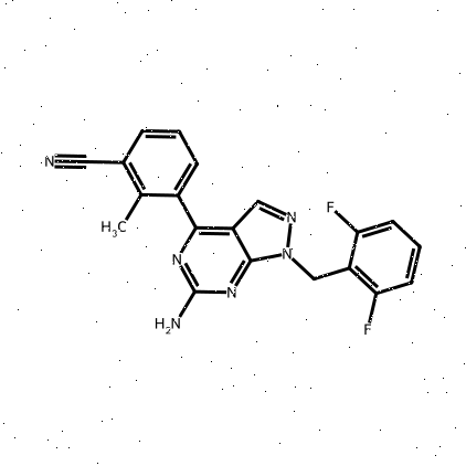 Cc1c(C#N)cccc1-c1nc(N)nc2c1cnn2Cc1c(F)cccc1F